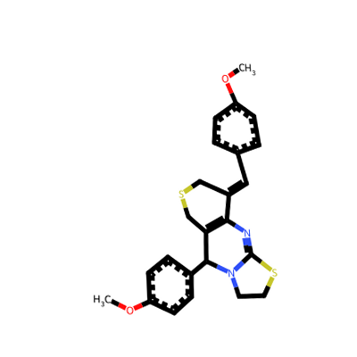 COc1ccc(C=C2CSCC3=C2N=C2SCCN2C3c2ccc(OC)cc2)cc1